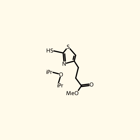 CC(C)OC(C)C.COC(=O)CCc1csc(S)n1